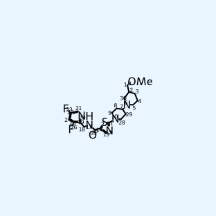 COCC1CCCN(C2CCN(c3ncc(C(=O)NCc4ncc(F)cc4F)s3)CC2)C1